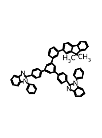 CC1(C)c2ccccc2-c2ccc(-c3cccc(-c4cc(-c5ccc(-c6nc7ccccc7n6-c6ccccc6)cc5)cc(-c5ccc(-c6nc7ccccc7n6-c6ccccc6)cc5)c4)c3)cc21